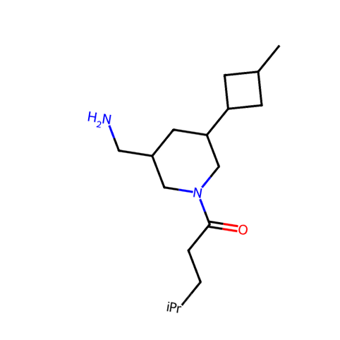 CC(C)CCC(=O)N1CC(CN)CC(C2CC(C)C2)C1